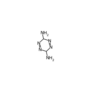 NC1N=NC(N)N=N1